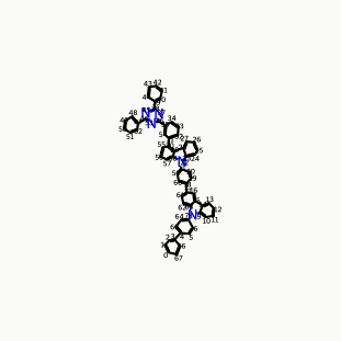 c1ccc(-c2ccc(-n3c4ccccc4c4cc(-c5ccc(-n6c7ccccc7c7c(-c8cccc(-c9nc(-c%10ccccc%10)nc(-c%10ccccc%10)n9)c8)cccc76)cc5)ccc43)cc2)cc1